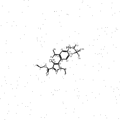 CCOC(=O)c1nn(CC)c(-c2ccc(NC(C)C(F)(F)F)cc2C(C)C)c1Cl